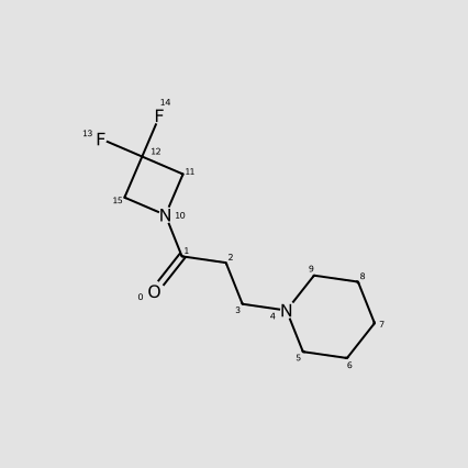 O=C(CCN1CCCCC1)N1CC(F)(F)C1